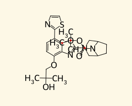 CC(C)(O)COc1ccc(-c2nccs2)c2oc(N3CC4CCC(C3)N4C(=O)OC(C)(C)C)nc12